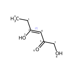 CC/C(O)=C/C(=O)CO